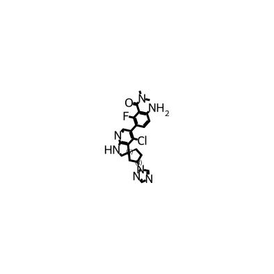 CN(C)C(=O)c1c(N)ccc(-c2cnc3c(c2Cl)[C@@]2(CC[C@@H](n4cncn4)C2)CN3)c1F